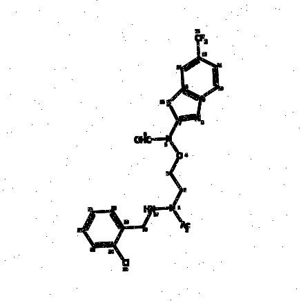 CC(=O)N(CCON(C=O)c1nc2ccc(C(F)(F)F)cc2s1)NCc1ccccc1Cl